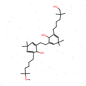 COC(C)(C)CCCCC1=CC(C)(C)C=C(CCC2=CC(C)(C)C=C(CCCCC(C)(C)CO)C2O)C1O